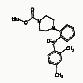 Cc1ccc([S+]([O-])c2ccccc2N2CCN(C(=O)OC(C)(C)C)CC2)c(C)c1